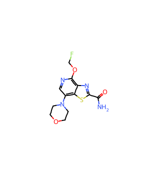 NC(=O)c1nc2c(OCF)ncc(N3CCOCC3)c2s1